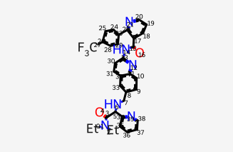 CCN(CC)C(=O)C(NCc1ccc2nc(NC(=O)c3cccnc3-c3ccc(C(F)(F)F)cc3)ccc2c1)c1ccccn1